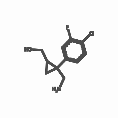 NCC1(c2ccc(Cl)c(F)c2)CC1CO